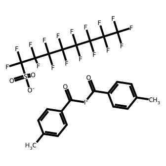 Cc1ccc(C(=O)[I+]C(=O)c2ccc(C)cc2)cc1.O=S(=O)([O-])C(F)(F)C(F)(F)C(F)(F)C(F)(F)C(F)(F)C(F)(F)C(F)(F)C(F)(F)F